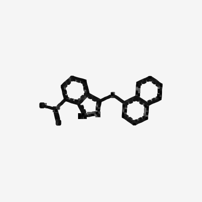 O=[N+]([O-])c1cccc2c(Sc3cccc4ccccc34)n[nH]c12